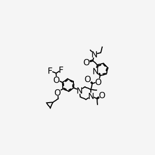 CCN(C)C(=O)c1cccc(OC(=O)C2(C)CN(c3ccc(OC(F)F)c(OCC4CC4)c3)CCN2C(C)=O)n1